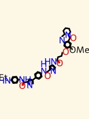 CCNc1ccc(NC(=O)c2cc(-c3ccc(NC(=O)c4cc(NC(=O)CCCOc5cc6c(cc5OC)C(=O)N5CCCCC5C=N6)cn4C)cc3)cn2C)cc1